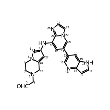 O=CCN1CCn2nc(Nc3cc(-c4cnc5cc[nH]c5c4)cn4ccnc34)cc2C1